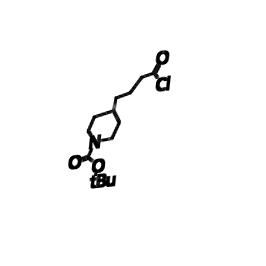 CC(C)(C)OC(=O)N1CCC(CCCC(=O)Cl)CC1